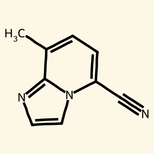 Cc1ccc(C#N)n2ccnc12